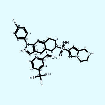 N=S(=O)(c1cc2n(n1)CCOC2)N1CCC2=Cc3c(cnn3-c3ccc(F)cc3)C[C@]2(C(=O)c2cc(C(F)(F)F)ccn2)C1